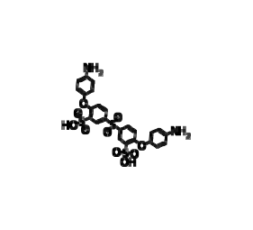 Nc1ccc(Oc2ccc(S(=O)(=O)c3ccc(Oc4ccc(N)cc4)c(S(=O)(=O)O)c3)cc2S(=O)(=O)O)cc1